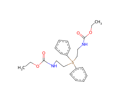 CCOC(=O)NCCS(CCNC(=O)OCC)(c1ccccc1)c1ccccc1